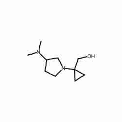 CN(C)C1CCN(C2(CO)CC2)C1